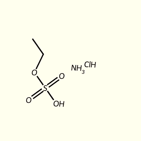 CCOS(=O)(=O)O.Cl.N